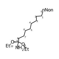 CCCCCCCCCCCCCCCCCC(N)(OCC)OCC